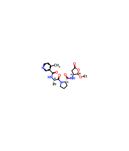 CCO[C@@H]1OC(=O)C[C@@H]1NC(=O)[C@@H]1CCCN1C(=O)[C@@H](NC(=O)c1cnccc1C)C(C)C